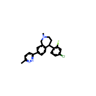 Cc1ccc(-c2ccc3c(c2)CN(C)CCC3c2ccc(Cl)cc2F)nn1